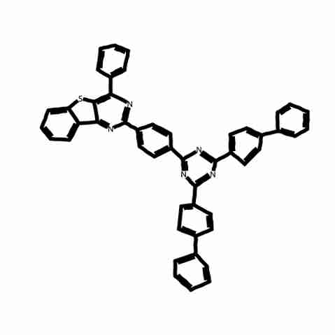 c1ccc(-c2ccc(-c3nc(-c4ccc(-c5ccccc5)cc4)nc(-c4ccc(-c5nc(-c6ccccc6)c6sc7ccccc7c6n5)cc4)n3)cc2)cc1